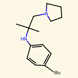 CC(C)(CN1CCCC1)Nc1ccc(C(C)(C)C)cc1